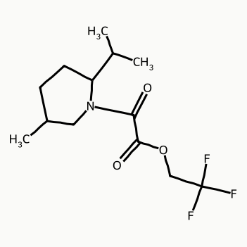 CC1CCC(C(C)C)N(C(=O)C(=O)OCC(F)(F)F)C1